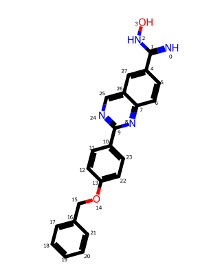 N=C(NO)c1ccc2nc(-c3ccc(OCc4ccccc4)cc3)ncc2c1